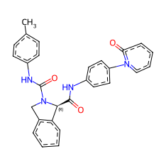 Cc1ccc(NC(=O)N2Cc3ccccc3[C@@H]2C(=O)Nc2ccc(-n3ccccc3=O)cc2)cc1